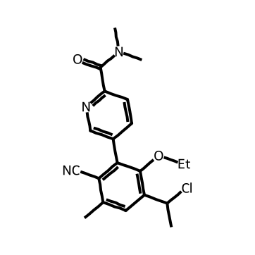 CCOc1c(C(C)Cl)cc(C)c(C#N)c1-c1ccc(C(=O)N(C)C)nc1